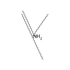 CCCCCCCCCCCCCCCCCCCCC(CCCCCCCCCCCCCCCCCCC)C(N)C(CCCCCCCCCCCCCCCCCCC)CCCCCCCCCCCCCCCCCCCC